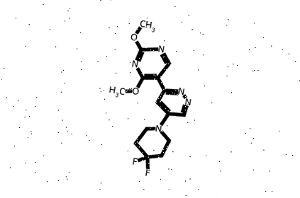 COc1ncc(-c2cc(N3CCC(F)(F)CC3)cnn2)c(OC)n1